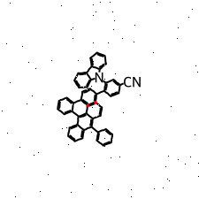 N#Cc1ccc(-c2ccc(-c3ccccc3-c3c4ccccc4c(-c4ccccc4)c4ccccc34)cc2)c(-n2c3ccccc3c3ccccc32)c1